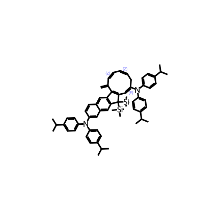 C=C1/C=C\C=C/C/C(N(c2ccc(C(C)C)cc2)c2ccc(C(C)C)cc2)=C\C2=C1c1cc3ccc(N(c4ccc(C(C)C)cc4)c4ccc(C(C)C)cc4)cc3cc1C2([Si](C)(C)C)[Si](C)(C)C